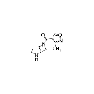 Cc1nocc1C(=O)N1CC2NCCC21